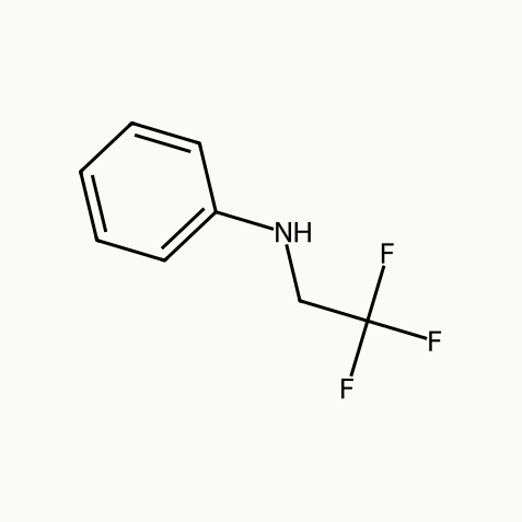 FC(F)(F)CNc1ccccc1